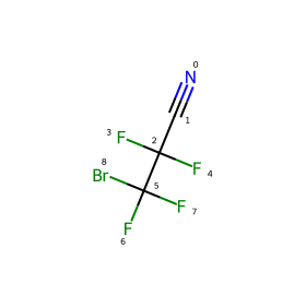 N#CC(F)(F)C(F)(F)Br